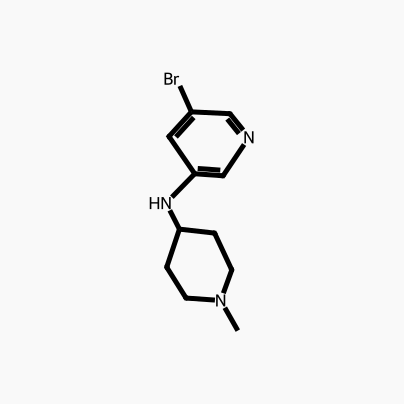 CN1CCC(Nc2cncc(Br)c2)CC1